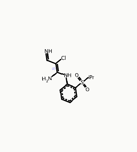 CC(C)S(=O)(=O)c1ccccc1N/C(N)=C(\Cl)C=N